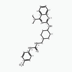 CN(C)c1nc(NC2CCC(CNC(=S)Nc3ccc([N+](=O)[O-])cc3)CC2)nc2ccccc12